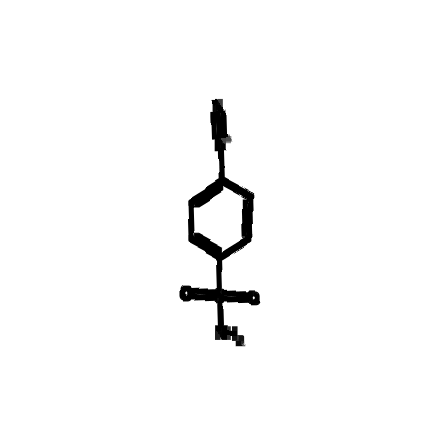 N#[N+]c1ccc(S(N)(=O)=O)cc1